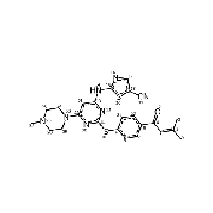 CC(C)=CC(=O)c1ccc(Sc2nc(Nc3ncc(C#N)s3)cc(N3CCN(C)CC3)n2)cc1